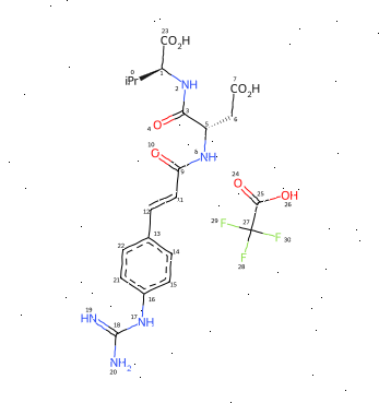 CC(C)[C@H](NC(=O)[C@H](CC(=O)O)NC(=O)C=Cc1ccc(NC(=N)N)cc1)C(=O)O.O=C(O)C(F)(F)F